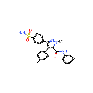 CCn1nc(-c2ccc(S(N)(=O)=O)cc2)c(-c2ccc(C)cc2)c1C(=O)Nc1ccccc1